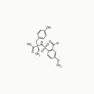 CC[C@@](Cc1ccc(O)cc1)(NS(=O)(=O)c1ccc(OC)cc1[N+](=O)[O-])C(=O)O